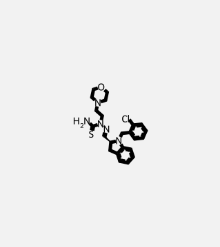 NC(=S)N(CCN1CCOCC1)N=C[C@@H]1Cc2ccccc2N1Cc1ccccc1Cl